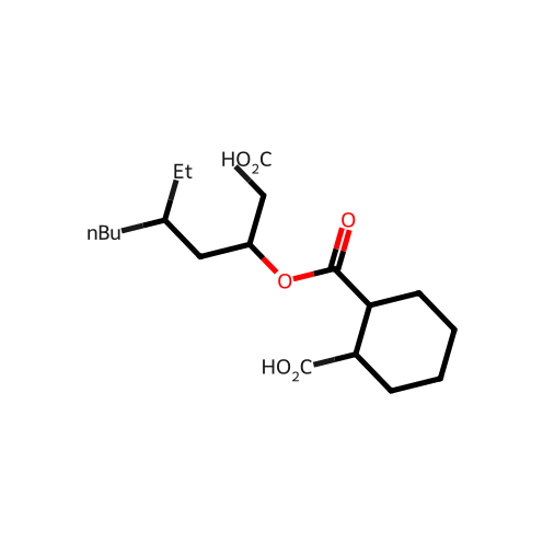 CCCCC(CC)CC(CC(=O)O)OC(=O)C1CCCCC1C(=O)O